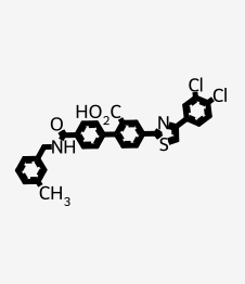 Cc1cccc(CNC(=O)c2ccc(-c3ccc(-c4nc(-c5ccc(Cl)c(Cl)c5)cs4)cc3C(=O)O)cc2)c1